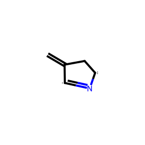 C=C1[C]=N[C]C1